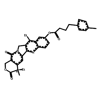 CCc1c2c(nc3ccc(OC(=O)CCCc4ccc(C)cc4)cc13)-c1cc3c(c(=O)n1C2)COC(=O)[C@]3(C)CC